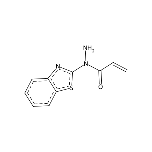 C=CC(=O)N(N)c1nc2ccccc2s1